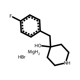 Br.OC1(Cc2ccc(F)cc2)CCNCC1.[MgH2]